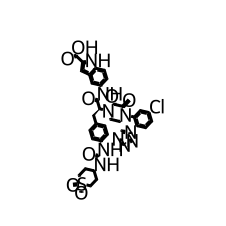 O=C(Nc1ccc(C[C@@H](C(=O)Nc2ccc3[nH]c(C(=O)O)cc3c2)N2CCN(c3cc(Cl)ccc3-n3cnnn3)C(=O)C2=O)cc1)NC1CCS(=O)(=O)CC1